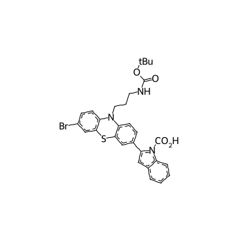 CC(C)(C)OC(=O)NCCCN1c2ccc(Br)cc2Sc2cc(-c3cc4ccccc4n3C(=O)O)ccc21